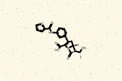 C[C@@H](O)[C@H]1C(=O)N2C(C(=O)O)=C(c3cccc(NC(=O)c4ccco4)c3)C[C@H]12